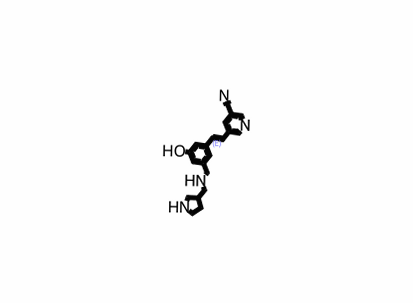 N#Cc1cncc(/C=C/c2cc(O)cc(CNCC3CCNC3)c2)c1